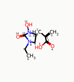 C=C(C)C(=O)O.CCN1CCN(O)C1=O